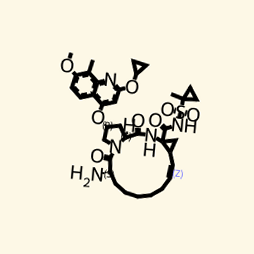 COc1ccc2c(O[C@@H]3C[C@H]4C(=O)NC5(C(=O)NS(=O)(=O)C6(C)CC6)CC5/C=C\CCCCC[C@H](N)C(=O)N4C3)cc(OC3CC3)nc2c1C